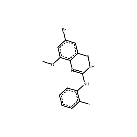 COc1cc(Br)cc2c1N=C(Nc1ccccc1F)NS2